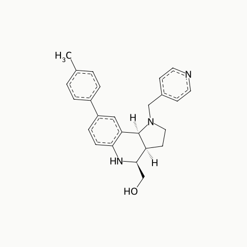 Cc1ccc(-c2ccc3c(c2)[C@@H]2[C@@H](CCN2Cc2ccncc2)[C@@H](CO)N3)cc1